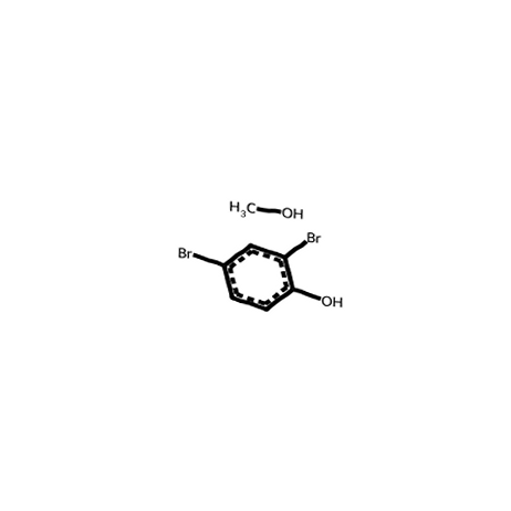 CO.Oc1ccc(Br)cc1Br